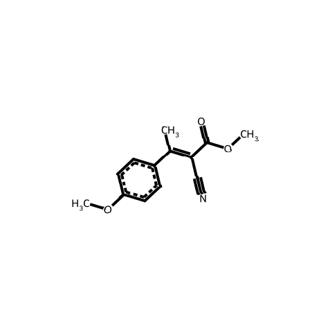 COC(=O)/C(C#N)=C(\C)c1ccc(OC)cc1